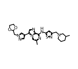 Cc1cn2c(-c3cnn(CC4OCCO4)c3)cnc2c(Nc2cc(CN3CCCC(C)C3)ns2)n1